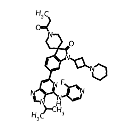 CCC(=O)N1CCC2(CC1)C(=O)N(C1CC(N3CCCCC3)C1)c1cc(-c3cc4ncn(C(C)C)c4c(Nc4ccncc4F)n3)ccc12